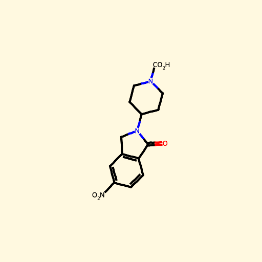 O=C(O)N1CCC(N2Cc3cc([N+](=O)[O-])ccc3C2=O)CC1